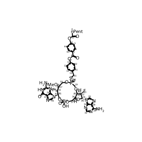 CCCCCC(=O)Oc1ccc(C(=O)Oc2ccc(CSP3(=O)CO[C@H]4[C@@H](F)[C@H](n5cnc6c(N)ncnc65)O[C@@H]4COP(=O)(O)O[C@@H](n4cnc5c(=O)[nH]c(N)nc54)[C@H](F)[C@H](OC)CO3)cc2)cc1